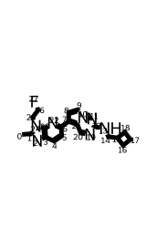 Cc1nc2ccc(-c3ccn4nc(NCC5CCC5)ncc34)nc2n1CCF